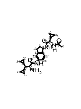 CC(=O)N[C@@H](C(=O)N[C@@H]1CCc2cc(NC(=O)[C@@H](N)C(C3CC3)C3CC3)ccc21)C1CC1